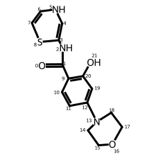 O=C(NC1=CNC=CS1)c1ccc(N2CCOCC2)cc1O